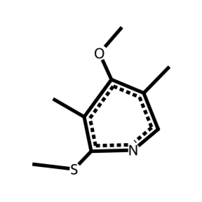 COc1c(C)cnc(SC)c1C